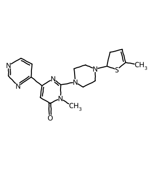 CC1=CCC(N2CCN(c3nc(-c4ccncn4)cc(=O)n3C)CC2)S1